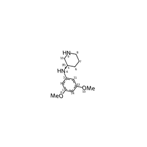 COc1cc(N[C@@H]2CCCNC2)cc(OC)c1